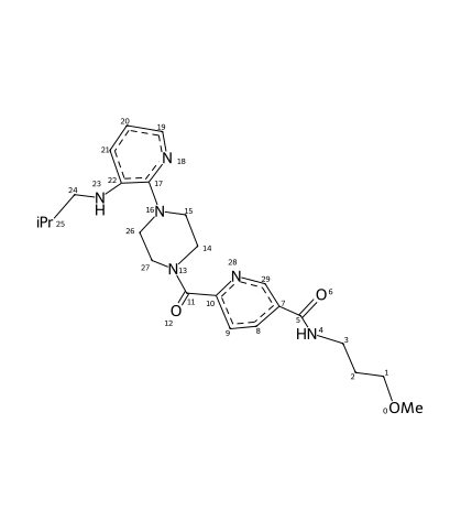 COCCCNC(=O)c1ccc(C(=O)N2CCN(c3ncccc3NCC(C)C)CC2)nc1